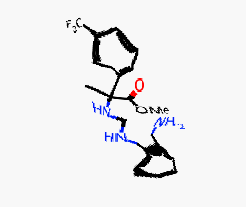 COC(=O)C(C)(NCNc1ccccc1N)c1cccc(C(F)(F)F)c1